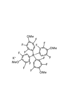 COc1c(F)cc([B-](c2cc(F)c(OC)c(F)c2F)(c2cc(F)c(OC)c(F)c2F)c2cc(F)c(OC)c(F)c2F)c(F)c1F.[K+]